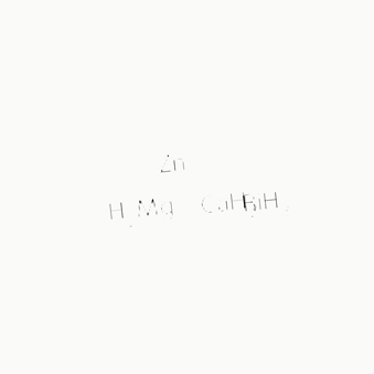 [BiH3].[CaH2].[MgH2].[Zn]